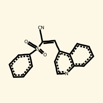 N#CC(=Cc1ccnc2ccccc12)S(=O)(=O)c1ccccc1